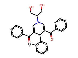 Cc1ccccc1C1C(C(=O)c2ccccc2)=CN(C(CO)CO)C=C1C(=O)c1ccccc1